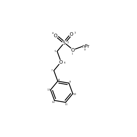 CCCOS(=O)(=O)COCc1ccccc1